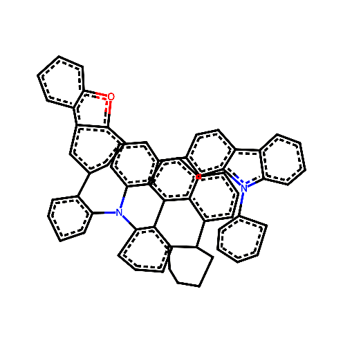 c1ccc(-n2c3ccccc3c3ccc(-c4cccc(N(c5ccccc5-c5ccc6oc7ccccc7c6c5)c5ccccc5-c5cccc6cccc(C7CCCCC7)c56)c4)cc32)cc1